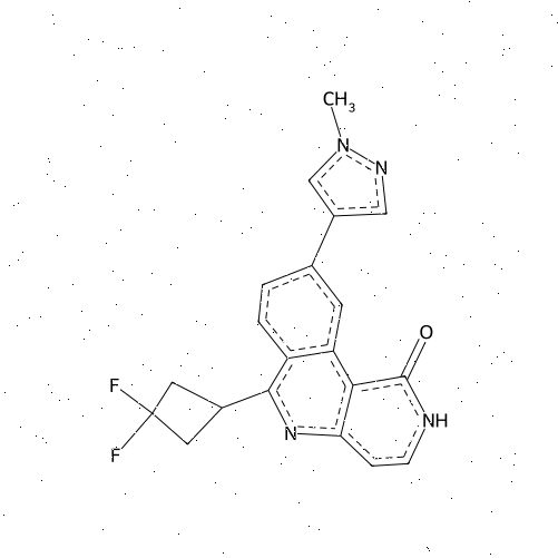 Cn1cc(-c2ccc3c(C4CC(F)(F)C4)nc4cc[nH]c(=O)c4c3c2)cn1